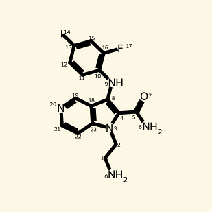 NCCn1c(C(N)=O)c(Nc2ccc(I)cc2F)c2cnccc21